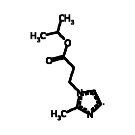 Cc1n[c]cn1CCC(=O)OC(C)C